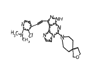 CN(C)c1nccc(C#Cc2n[nH]c3nc(N4CCC5(CCOC5)CC4)n4ccnc4c23)c1Cl